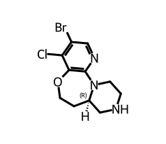 Clc1c(Br)cnc2c1OCC[C@@H]1CNCCN21